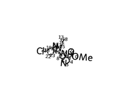 COC(=O)c1ccnc2cc(-c3c4c(nn3CC3CC3)C=C(Cl)CC4)[nH]c12